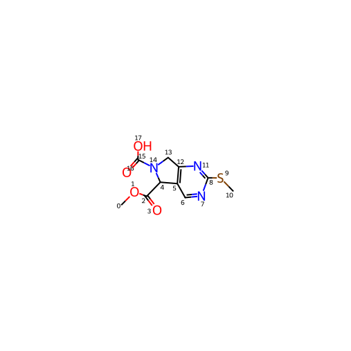 COC(=O)C1c2cnc(SC)nc2CN1C(=O)O